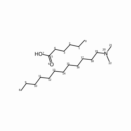 CCCCCC(=O)O.CCCCCCCCCCCCN(C)C